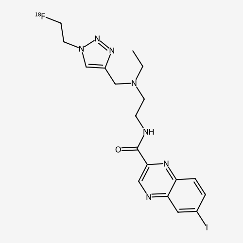 CCN(CCNC(=O)c1cnc2cc(I)ccc2n1)Cc1cn(CC[18F])nn1